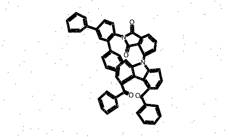 O=C(c1ccccc1)c1cccc2c1c1c(C(=O)c3ccccc3)cccc1n2-c1cccc2c1C(=O)N(c1ccc(-c3ccccc3)cc1-c1ccccc1)C2=O